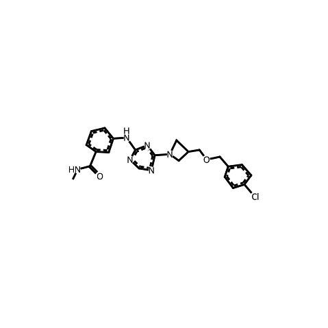 CNC(=O)c1cccc(Nc2ncnc(N3CC(COCc4ccc(Cl)cc4)C3)n2)c1